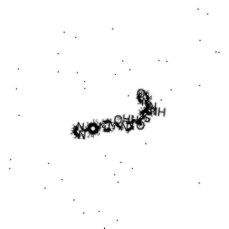 O=C(NC1CCN(CC(=O)N2CCN(c3ccc(-c4ncccn4)cc3)CC2)C1)c1cc2c(N3CCOCC3)n[nH]c2s1